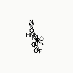 C=CCn1c(=O)c2cnc(Nc3ccc(N4CCN(C)CC4)cc3)nc2n1-c1cccc(-c2cccc(F)n2)n1